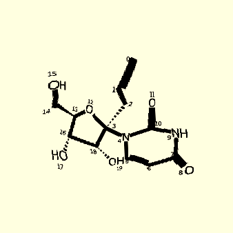 C=CC[C@@]1(n2ccc(=O)[nH]c2=O)O[C@H](CO)[C@@H](O)[C@H]1O